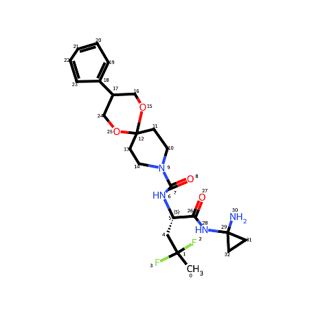 CC(F)(F)C[C@H](NC(=O)N1CCC2(CC1)OCC(c1ccccc1)CO2)C(=O)NC1(N)CC1